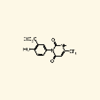 CCOC(=O)c1cc(-n2c(=O)cc(C(F)(F)F)[nH]c2=O)ccc1O